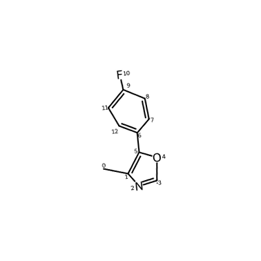 Cc1n[c]oc1-c1ccc(F)cc1